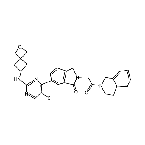 O=C(CN1Cc2ccc(-c3nc(NC4CC5(COC5)C4)ncc3Cl)cc2C1=O)N1CCc2ccccc2C1